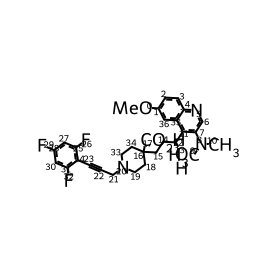 COc1ccc2ncc(N(C)C)c(C(O)CCC3(C(=O)O)CCN(CC#Cc4c(F)cc(F)cc4F)CC3)c2c1